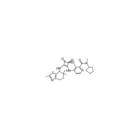 Cc1nc2c(s1)C(Nc1c(Nc3ccnc(C(=O)N(C)C4CCCC4)c3O)c(=O)c1=O)C(C)(C)CC2